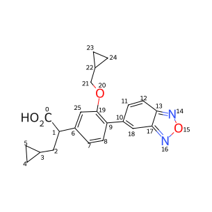 O=C(O)C(CC1CC1)c1ccc(-c2ccc3nonc3c2)c(OCC2CC2)c1